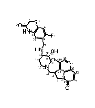 O=C1CSc2cc(F)c(CN[C@H]3CCN(CC4Cn5c(=O)ccc6ncc(Cl)c4c65)C[C@H]3O)cc2N1